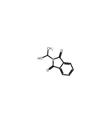 [CH2]C(O)N1C(=O)c2ccccc2C1=O